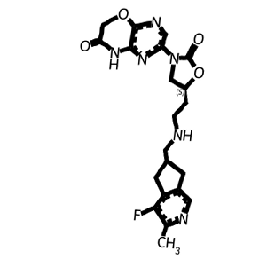 Cc1ncc2c(c1F)CC(CNCC[C@H]1CN(c3cnc4c(n3)NC(=O)CO4)C(=O)O1)C2